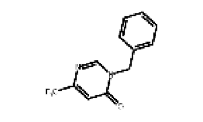 O=c1cc(C(F)(F)F)ncn1Cc1ccccc1